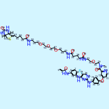 C=CC(=O)Nc1cccc(Nc2nc(Nc3ccc(Oc4ccnc(C(=O)N(C)CCOCCNC(=O)CCCC(=O)NCCCOCCOCCOCCCNC(=O)CCC/C=C5\SC[C@@H]6NC(=O)N[C@H]56)c4)cc3)ncc2F)c1